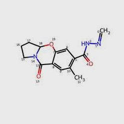 C=NNC(=O)c1cc2c(cc1C)C(=O)N1CCCC1O2